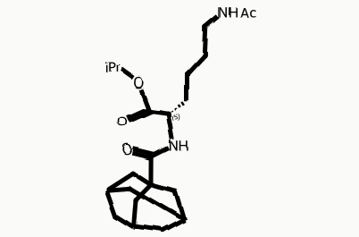 CC(=O)NCCCC[C@H](NC(=O)C12CC3CC(CC(C3)C1)C2)C(=O)OC(C)C